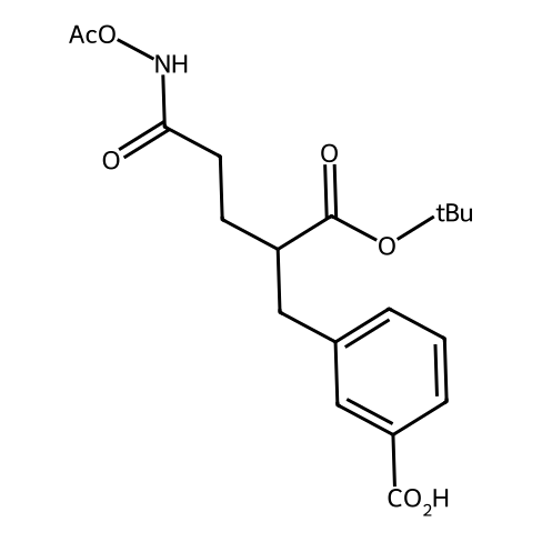 CC(=O)ONC(=O)CCC(Cc1cccc(C(=O)O)c1)C(=O)OC(C)(C)C